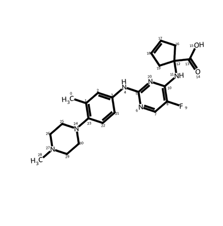 Cc1cc(Nc2ncc(F)c(NC3(C(=O)O)CC=CC3)n2)ccc1N1CCN(C)CC1